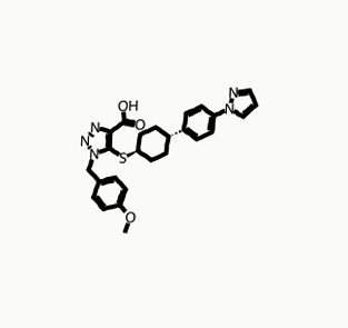 COc1ccc(Cn2nnc(C(=O)O)c2S[C@H]2CC[C@H](c3ccc(-n4cccn4)cc3)CC2)cc1